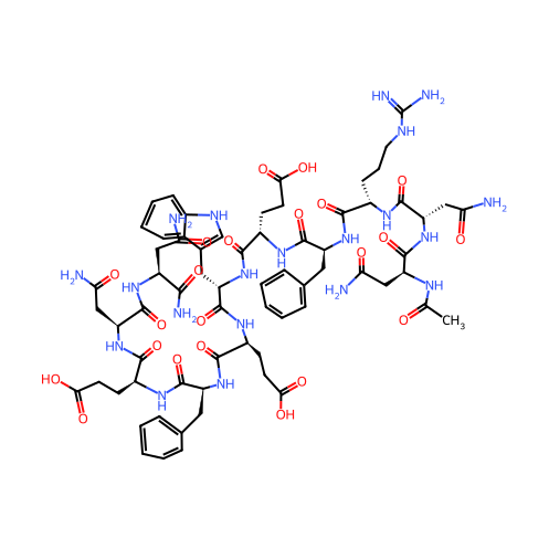 CC(=O)N[C@@H](CC(N)=O)C(=O)N[C@@H](CC(N)=O)C(=O)N[C@@H](CCCNC(=N)N)C(=O)N[C@@H](Cc1ccccc1)C(=O)N[C@@H](CCC(=O)O)C(=O)N[C@@H](Cc1c[nH]c2ccccc12)C(=O)N[C@@H](CCC(=O)O)C(=O)N[C@@H](Cc1ccccc1)C(=O)N[C@@H](CCC(=O)O)C(=O)N[C@@H](CC(N)=O)C(=O)N[C@@H](CC(N)=O)C(N)=O